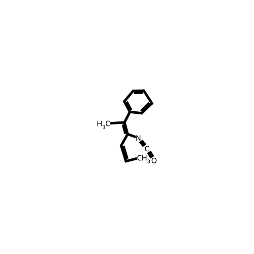 C/C=C\C(N=C=O)=C(/C)c1ccccc1